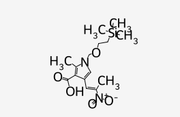 C/C(=C\c1cn(COCC[Si](C)(C)C)c(C)c1C(=O)O)[N+](=O)[O-]